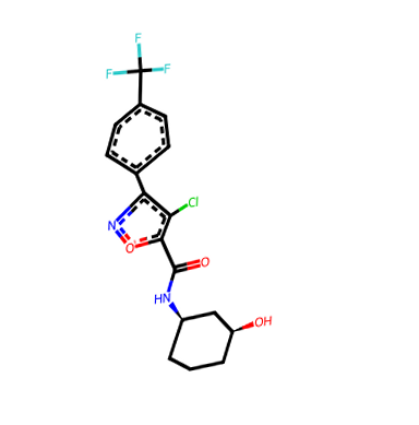 O=C(N[C@@H]1CCC[C@H](O)C1)c1onc(-c2ccc(C(F)(F)F)cc2)c1Cl